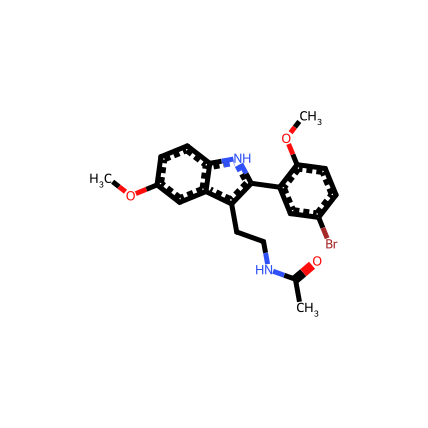 COc1ccc2[nH]c(-c3cc(Br)ccc3OC)c(CCNC(C)=O)c2c1